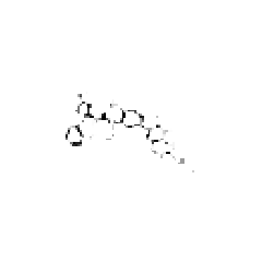 CC(C)c1cc(NC(=O)Nc2cc(-c3cc4cnc(N)nc4n(C)c3=O)ccc2F)n(-c2ccccc2)n1